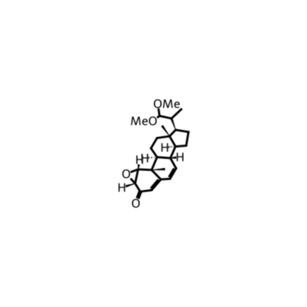 COC(OC)C(C)[C@H]1CC[C@H]2[C@@H]3C=CC4=CC(=O)[C@@H]5O[C@@H]5[C@]4(C)[C@H]3CC[C@]12C